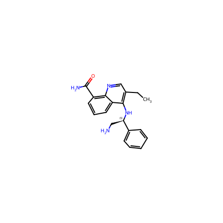 CCc1cnc2c(C(N)=O)cccc2c1N[C@H](CN)c1ccccc1